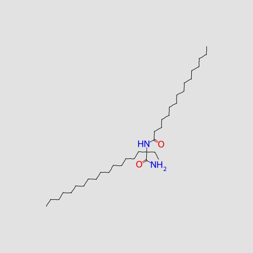 CCCCCCCCCCCCCCCCC(CC)(NC(=O)CCCCCCCCCCCCCCC)C(N)=O